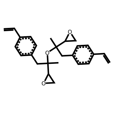 C=Cc1ccc(CC(C)(OC(C)(Cc2ccc(C=C)cc2)C2CO2)C2CO2)cc1